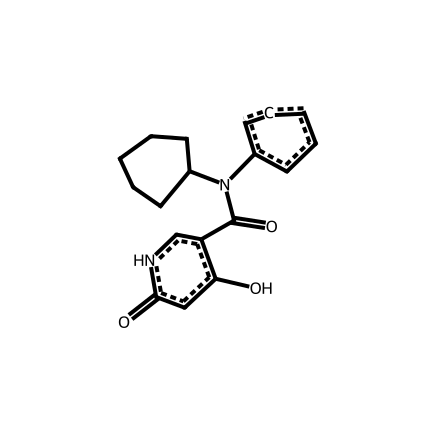 O=C(c1c[nH]c(=O)cc1O)N(c1ccccc1)C1CCCCC1